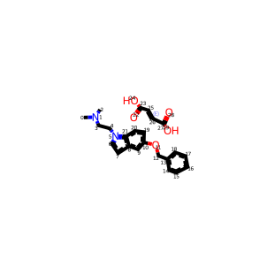 CN(C)CCn1ccc2cc(OCc3ccccc3)ccc21.O=C(O)/C=C/C(=O)O